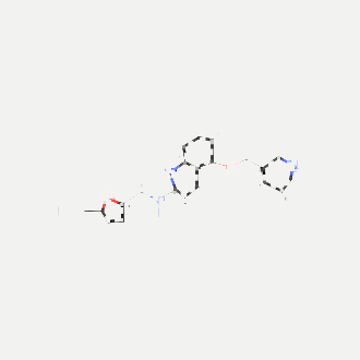 Cc1ccc(CNc2ccc3c(OCc4cccnc4)cccc3n2)o1